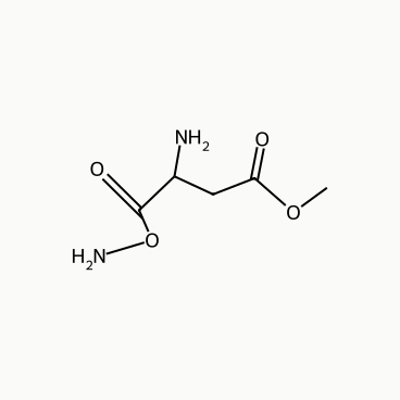 COC(=O)CC(N)C(=O)ON